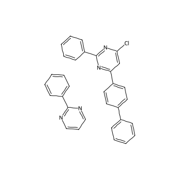 Clc1cc(-c2ccc(-c3ccccc3)cc2)nc(-c2ccccc2)n1.c1ccc(-c2ncccn2)cc1